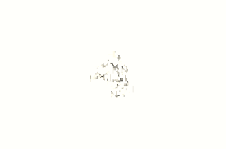 CC(C)(F)c1ncncc1CNc1ncc(C#N)c(N[C@@H]2CC[C@H](O)C(C)(C)C2)n1